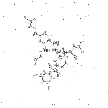 COCCNc1cc(OCCN(C)C)ccc1C(=O)Nc1nn(C(=O)OC(C)C)c2c1CN(S(=O)(=O)c1cc(F)cc(F)c1)CC2